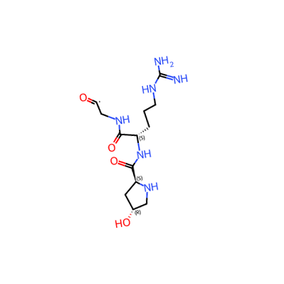 N=C(N)NCCC[C@H](NC(=O)[C@@H]1C[C@@H](O)CN1)C(=O)NC[C]=O